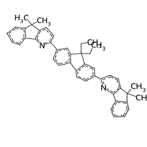 CCC1(CC)c2cc(-c3ccc4c(n3)-c3ccccc3C4(C)C)ccc2-c2ccc(-c3ccc4c(n3)-c3ccccc3C4(C)C)cc21